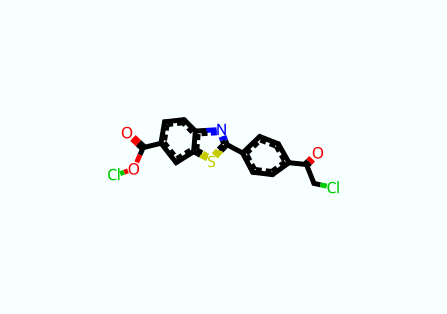 O=C(CCl)c1ccc(-c2nc3ccc(C(=O)OCl)cc3s2)cc1